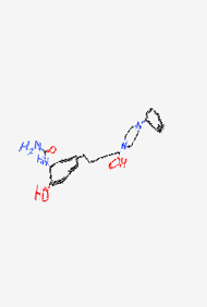 NC(=O)Nc1cc(CCCC(O)N2CCN(c3ccccc3)CC2)ccc1O